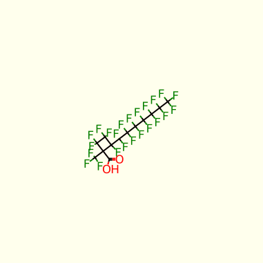 O=C(O)C1(C(F)(F)F)C(F)(F)C(F)(F)C1(F)C(F)(F)C(F)(F)C(F)(F)C(F)(F)C(F)(F)C(F)(F)C(F)(F)F